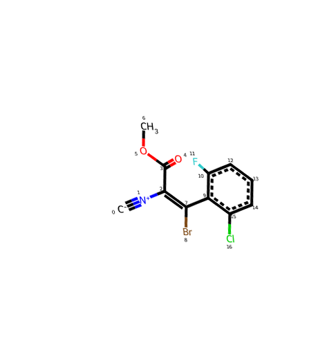 [C-]#[N+]/C(C(=O)OC)=C(\Br)c1c(F)cccc1Cl